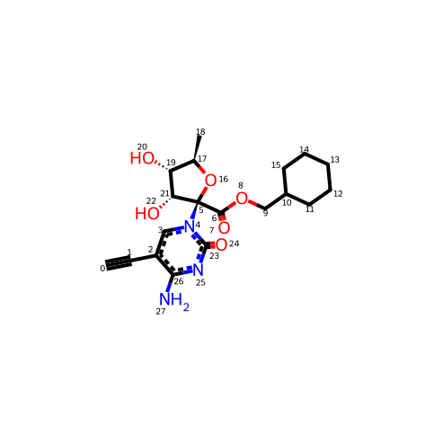 C#Cc1cn([C@]2(C(=O)OCC3CCCCC3)O[C@H](C)[C@@H](O)[C@H]2O)c(=O)nc1N